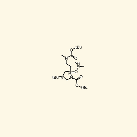 CN(CC[C@]1(O[SiH](C)C)C[C@H](C(C)(C)C)CN1C(=O)OC(C)(C)C)C(=O)OC(C)(C)C